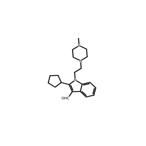 CN1CCN(CCn2c(C3CCCC3)c(C=O)c3ccccc32)CC1